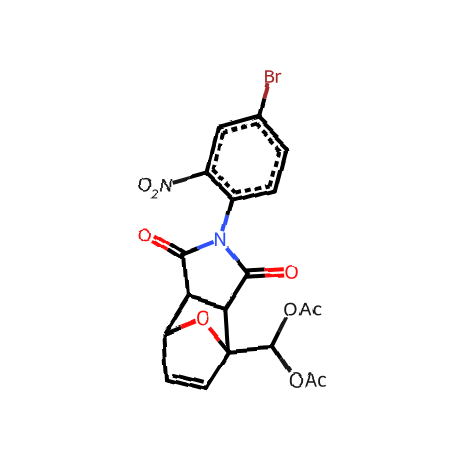 CC(=O)OC(OC(C)=O)C12C=CC(O1)C1C(=O)N(c3ccc(Br)cc3[N+](=O)[O-])C(=O)C12